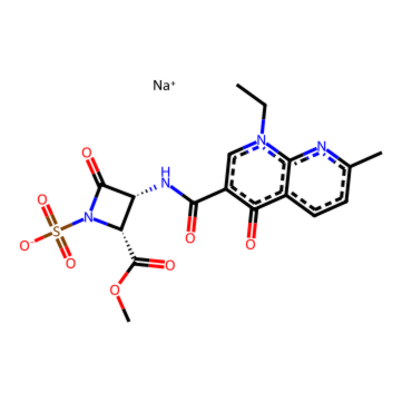 CCn1cc(C(=O)N[C@H]2C(=O)N(S(=O)(=O)[O-])[C@H]2C(=O)OC)c(=O)c2ccc(C)nc21.[Na+]